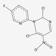 O=[N+]([O-])C1=C(Cl)N(c2ccc(F)cn2)C(Cl)N=C1